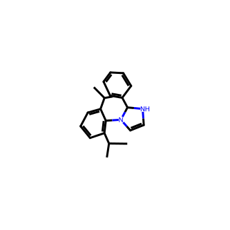 CC(C)c1cccc(C(C)C)c1N1C=CNC1c1ccccc1